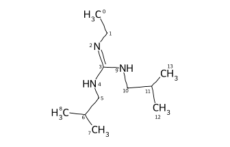 CCN=C(NCC(C)C)NCC(C)C